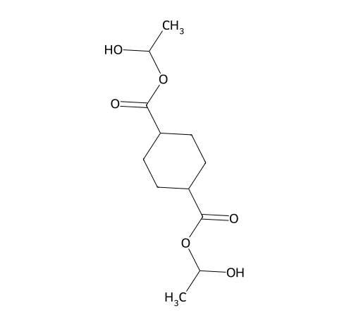 CC(O)OC(=O)C1CCC(C(=O)OC(C)O)CC1